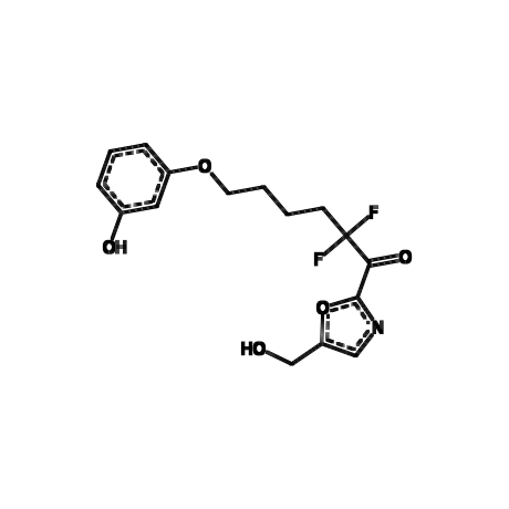 O=C(c1ncc(CO)o1)C(F)(F)CCCCOc1cccc(O)c1